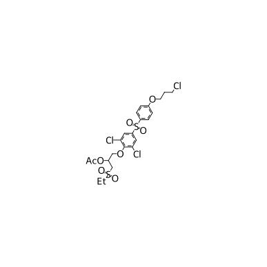 CCS(=O)(=O)CC(COc1c(Cl)cc(S(=O)(=O)c2ccc(OCCCCl)cc2)cc1Cl)OC(C)=O